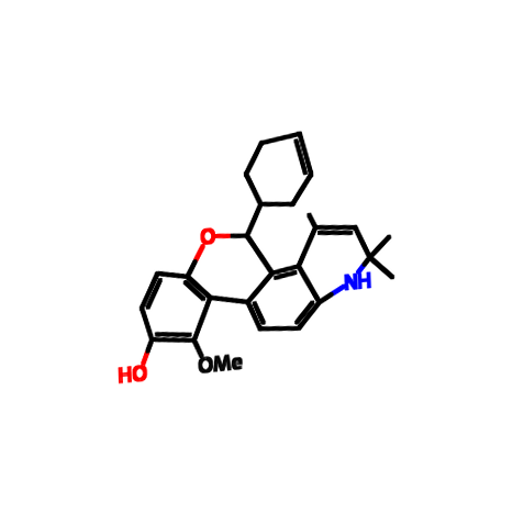 COc1c(O)ccc2c1-c1ccc3c(c1C(C1CC=CCC1)O2)C(C)=CC(C)(C)N3